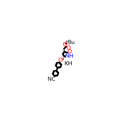 CC(C)(C)OC(=O)C[C@@H]1C[C@@H](COc2ccc(-c3ccc(C#N)cc3)cc2)NC1=O.[KH]